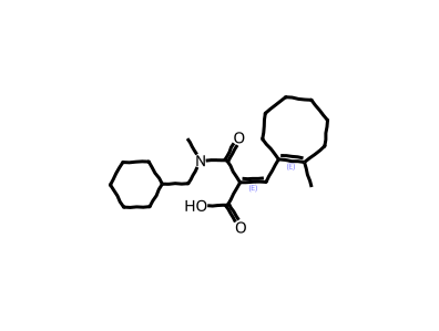 C/C1=C(\C=C(\C(=O)O)C(=O)N(C)CC2CCCCC2)CCCCCC1